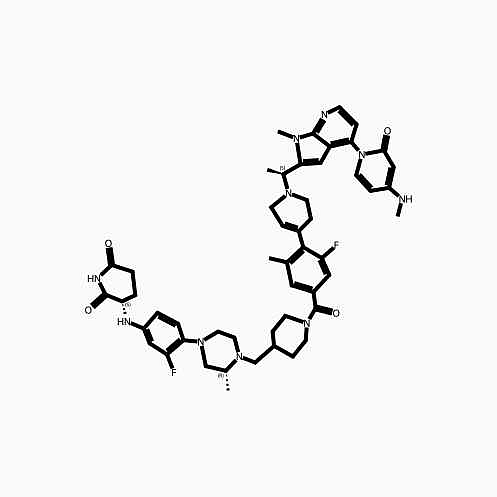 CNc1ccn(-c2ccnc3c2cc([C@H](C)N2CC=C(c4c(C)cc(C(=O)N5CCC(CN6CCN(c7ccc(N[C@H]8CCC(=O)NC8=O)cc7F)C[C@H]6C)CC5)cc4F)CC2)n3C)c(=O)c1